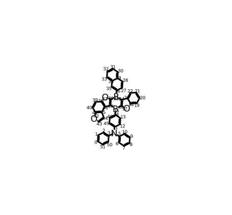 c1ccc(N(c2ccccc2)c2ccc(B3c4oc5ccccc5c4B(c4ccc5ccccc5c4)c4oc5ccc6occc6c5c43)cc2)cc1